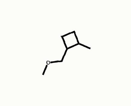 COCC1CC[C]1C